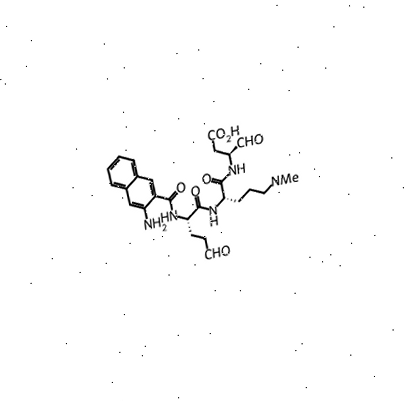 CNCCC[C@H](NC(=O)[C@H](CCC=O)NC(=O)c1cc2ccccc2cc1N)C(=O)N[C@H](C=O)CC(=O)O